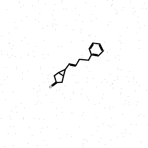 O=C1CC2C(C=CCCc3ccccc3)C2C1